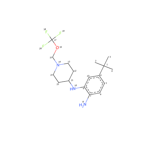 CC(C)(C)c1ccc(N)c(NC2CCN(COC(F)(F)F)CC2)c1